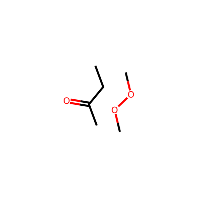 CCC(C)=O.COOC